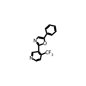 FC(F)(F)c1ccncc1-c1ncc(-c2ccccc2)o1